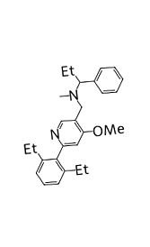 CCc1cccc(CC)c1-c1cc(OC)c(CN(C)C(CC)c2ccccc2)cn1